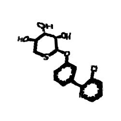 O[C@@H]1[C@@H](O)[C@@H](Oc2cccc(-c3ncccc3Cl)c2)SC[C@H]1O